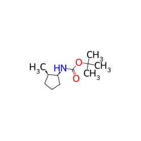 C[C@@H]1CCC[C@@H]1NC(=O)OC(C)(C)C